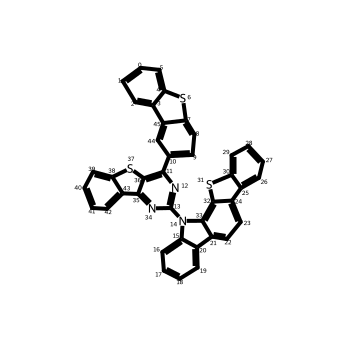 c1ccc2c(c1)sc1ccc(-c3nc(-n4c5ccccc5c5ccc6c7ccccc7sc6c54)nc4c3sc3ccccc34)cc12